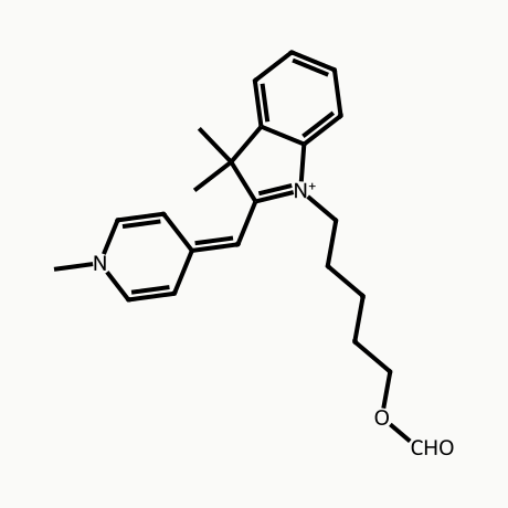 CN1C=CC(=CC2=[N+](CCCCCOC=O)c3ccccc3C2(C)C)C=C1